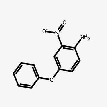 Nc1ccc(Oc2ccccc2)cc1[N+](=O)[O-]